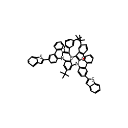 CC(C)(C)c1cc2c3c(c1)N(c1ccc(-c4cc5ccccc5s4)cc1-c1ccccc1)c1oc4ccc(C(C)(C)C)cc4c1B3c1c(oc3ccc(C(C)(C)C)cc13)N2c1ccc(-c2cc3ccccc3s2)cc1-c1ccccc1